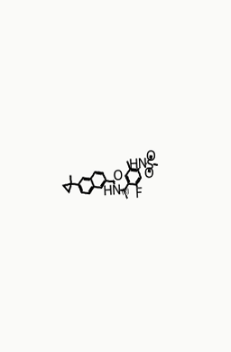 Cc1cc([C@@H](C)NC(=O)c2ccc3cc(C4(C)CC4)ccc3c2)c(F)cc1NS(C)(=O)=O